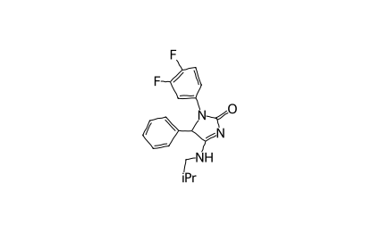 CC(C)CNC1=NC(=O)N(c2ccc(F)c(F)c2)C1c1ccccc1